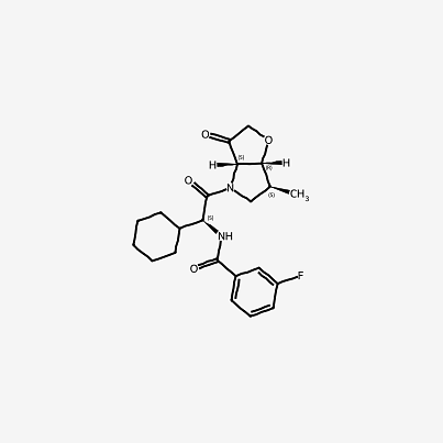 C[C@H]1CN(C(=O)[C@@H](NC(=O)c2cccc(F)c2)C2CCCCC2)[C@@H]2C(=O)CO[C@@H]21